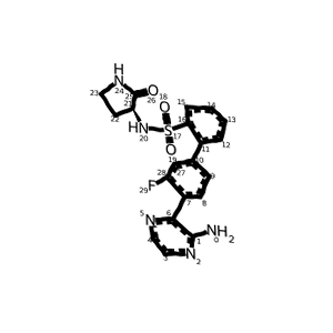 Nc1nccnc1-c1ccc(-c2ccccc2S(=O)(=O)N[C@H]2CCNC2=O)cc1F